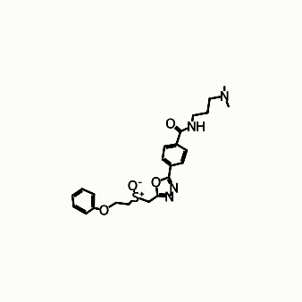 CN(C)CCCNC(=O)c1ccc(-c2nnc(C[S+]([O-])CCOc3ccccc3)o2)cc1